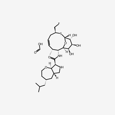 CC(C)C[C@@H]1CCO[C@@H]2[C@H](CN[C@@H]2C(=O)N[C@H]2[C@H]3O[C@H](S[C@H](CF)CC=C[C@H]2C)[C@H](O)[C@@H](O)[C@H]3O)C1.O=CO